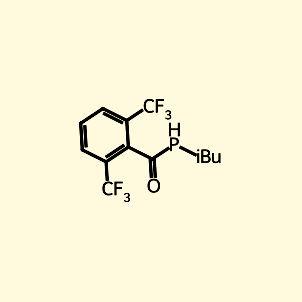 CCC(C)PC(=O)c1c(C(F)(F)F)cccc1C(F)(F)F